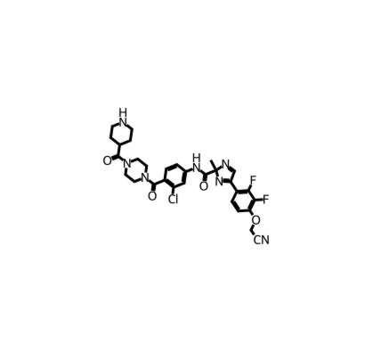 CC1(C(=O)Nc2ccc(C(=O)N3CCN(C(=O)C4CCNCC4)CC3)c(Cl)c2)N=CC(c2ccc(OCC#N)c(F)c2F)=N1